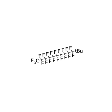 CC(C)(C)C(F)(F)C(F)(F)C(F)(F)C(F)(F)C(F)(F)C(F)(F)C(F)(F)C(F)(F)C(F)(F)C(F)(F)F